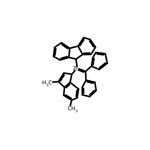 CC1=C[CH]([Zr](=[C](c2ccccc2)c2ccccc2)[CH]2c3ccccc3-c3ccccc32)c2ccc(C)cc21